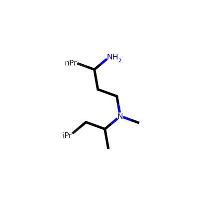 CCCC(N)CCN(C)C(C)CC(C)C